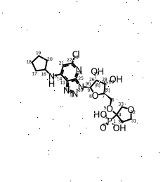 O=P(O)(O)C1(OC[C@H]2O[C@@H](n3nnc4c(NC5CCCC5)cc(Cl)nc43)[C@H](O)[C@@H]2O)CCOC1